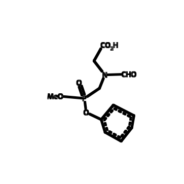 COP(=O)(CN(C=O)CC(=O)O)Oc1ccccc1